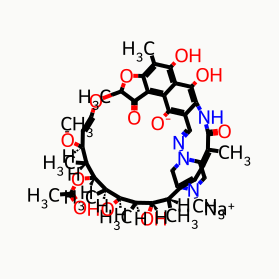 CO[C@H]1/C=C/O[C@@]2(C)Oc3c(C)c(O)c4c(O)c(c(/C=N/N5CCN(C)CC5)c([O-])c4c3C2=O)NC(=O)/C(C)=C\C=C\[C@H](C)[C@H](O)[C@@H](C)[C@@H](O)[C@@H](C)[C@H](OC(C)=O)[C@@H]1C.[Na+]